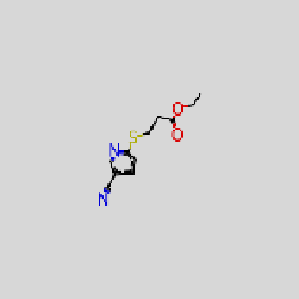 CCOC(=O)CCSc1ccc(C#N)cn1